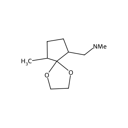 CNCC1CCC(C)C12OCCO2